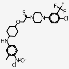 Cc1cc(NC2CCC(OCC(=S)N3CCN(c4ccc(Cl)c(C(F)(F)F)c4)CC3)CC2)ccc1[N+](=O)[O-]